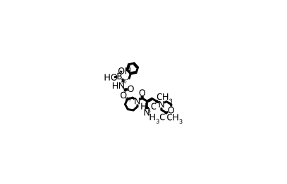 CC1(C)CN(C(C)(C)C=C(C#N)C(=O)N2CCCC[C@@H](OC(=O)N[C@@H](Cc3ccccc3)B(O)O)C2)CCO1